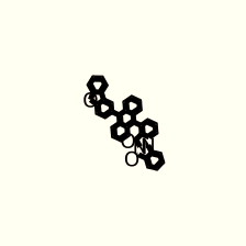 O=c1c2ccccc2n2c3cccc(-c4c5ccccc5c(-c5ccc6oc7ccccc7c6c5)c5ccccc45)c3c(=O)n12